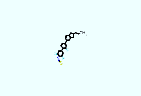 CCCC1Cc2ccc(-c3ccc(-c4cc(F)c(N=C=S)c(F)c4)c(F)c3)cc2C1